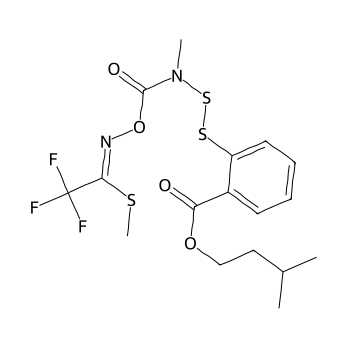 CSC(=NOC(=O)N(C)SSc1ccccc1C(=O)OCCC(C)C)C(F)(F)F